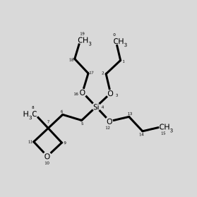 CCCO[Si](CCC1(C)COC1)(OCCC)OCCC